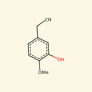 COc1ccc(CC#N)cc1O